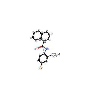 O=C(O)c1cc(Br)ccc1NC(=O)c1cccc2ccccc12